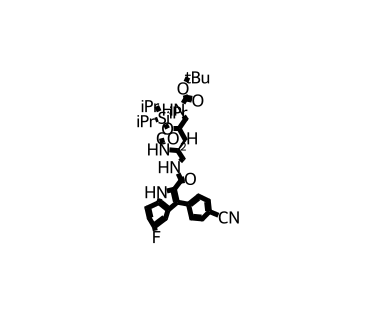 CC(C)[Si](OC(CNC(=O)OC(C)(C)C)C[C@@H](CNC(=O)c1[nH]c2ccc(F)cc2c1-c1ccc(C#N)cc1)NC(=O)O)(C(C)C)C(C)C